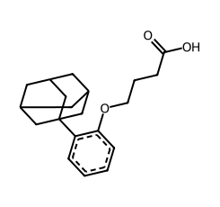 O=C(O)CCCOc1ccccc1C12CC3CC(CC(C3)C1)C2